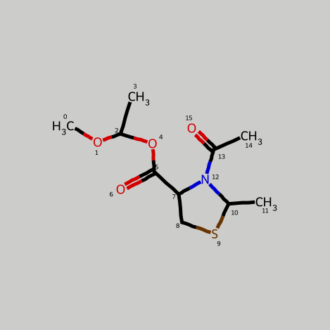 COC(C)OC(=O)C1CSC(C)N1C(C)=O